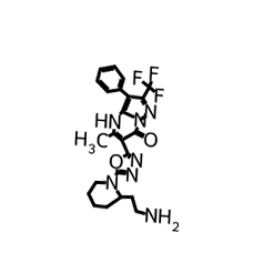 Cc1[nH]c2c(-c3ccccc3)c(C(F)(F)F)nn2c(=O)c1-c1nnc(N2CCCCC2CCN)o1